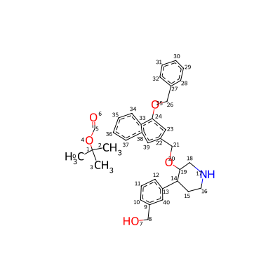 CC(C)(C)OC=O.OCc1cccc(C2CCNCC2OCc2cc(OCc3ccccc3)c3ccccc3c2)c1